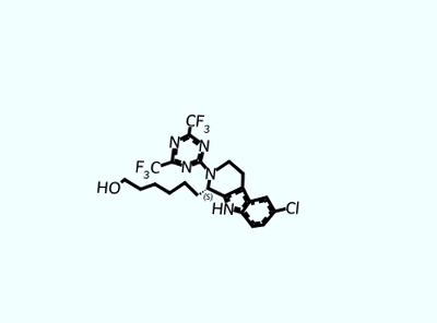 OCCCCCC[C@H]1c2[nH]c3ccc(Cl)cc3c2CCN1c1nc(C(F)(F)F)nc(C(F)(F)F)n1